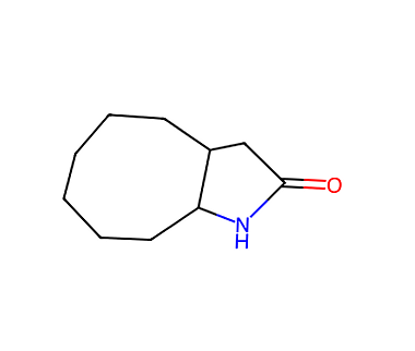 O=C1CC2CCCCCCC2N1